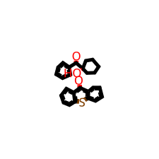 O=C(c1ccccc1)C1(O)CCCCC1.O=c1c2ccccc2sc2ccccc12